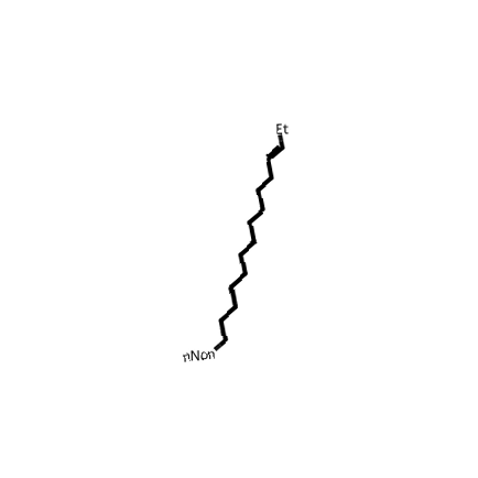 CCC=CCCCCCCCCCCCCCCCCCCCC